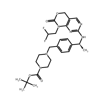 C[C@H](Nc1ncc2c(n1)N(CC(F)F)C(=O)OC2)c1ccc(CN2CCN(C(=O)OC(C)(C)C)CC2)cc1